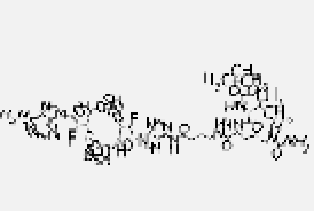 CC(C)[C@H](NC(=O)OC(C)(C)C)C(=O)N[C@@H](CCCNC(N)=O)C(=O)NCCCC(=O)Nc1ncnc2c1ncn2[C@@H]1O[C@@H]2CO[P@@](=O)(S)OC3[C@@H](F)[C@H](n4cnc5c(N)ncnc54)O[C@@H]3CO[P@@](=O)(S)OC2[C@H]1F